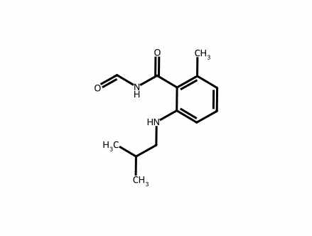 Cc1cccc(NCC(C)C)c1C(=O)NC=O